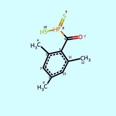 Cc1cc(C)c(C(=O)[PH](=S)S)c(C)c1